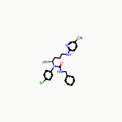 CCC[C@@H](CCCNc1ccc(C#N)cn1)N(C(=O)NCc1ccccc1)c1ccc(Br)cc1